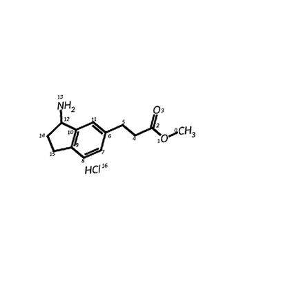 COC(=O)CCc1ccc2c(c1)C(N)CC2.Cl